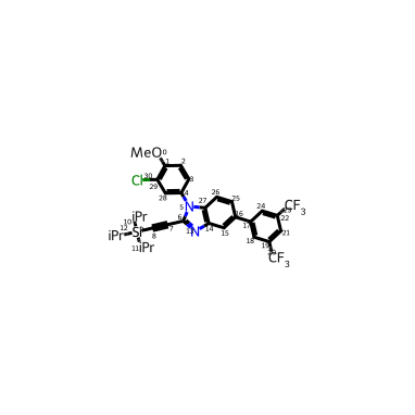 COc1ccc(-n2c(C#C[Si](C(C)C)(C(C)C)C(C)C)nc3cc(-c4cc(C(F)(F)F)cc(C(F)(F)F)c4)ccc32)cc1Cl